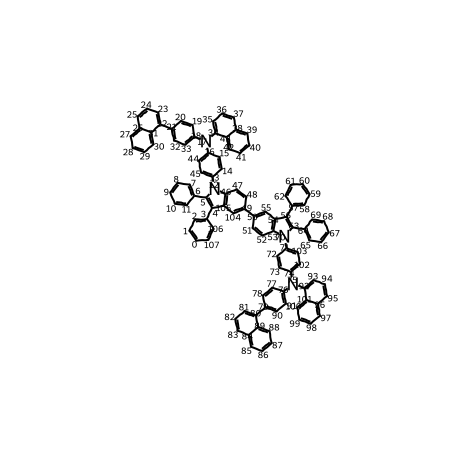 c1ccc(-c2c(-c3ccccc3)n(-c3ccc(N(c4ccc(-c5cccc6ccccc56)cc4)c4cccc5ccccc45)cc3)c3ccc(-c4ccc5c(c4)c(-c4ccccc4)c(-c4ccccc4)n5-c4ccc(N(c5ccc(-c6cccc7ccccc67)cc5)c5cccc6ccccc56)cc4)cc23)cc1